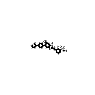 O=P(O)(O)c1cccc(C(F)(F)c2nc3cc(-c4ccc(-c5ccccc5)cc4)c(Cl)cc3[nH]2)c1